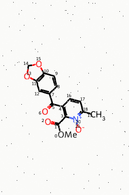 COC(=O)c1c(C(=O)c2ccc3c(c2)OCO3)ccc(C)[n+]1[O-]